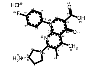 Cc1c(F)c(N2CC[C@H](N)C2)nc2c1c(=O)c(C(=O)O)cn2-c1ccc(F)cc1.Cl